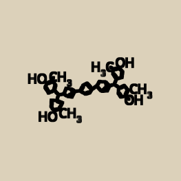 Cc1cc(C(c2ccc(O)c(C)c2)C2CC3CC2CC3c2ccc(C3CC4CC3CC4C(c3ccc(O)c(C)c3)c3ccc(O)c(C)c3)cc2)ccc1O